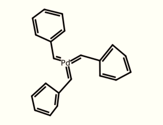 [CH](c1ccccc1)=[Pd](=[CH]c1ccccc1)=[CH]c1ccccc1